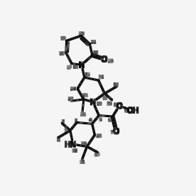 CC1(C)CC(C(C(=O)OO)N2C(C)(C)CC(N3CC=CC=CC3=O)CC2(C)C)CC(C)(C)N1